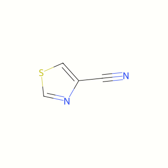 N#Cc1cscn1